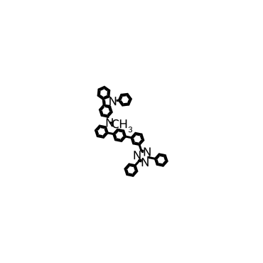 CN(c1ccc2c3ccccc3n(-c3ccccc3)c2c1)c1ccccc1-c1ccc(-c2cccc(-c3nc(-c4ccccc4)nc(-c4ccccc4)n3)c2)cc1